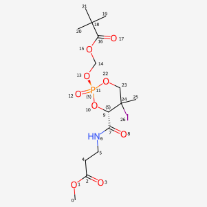 COC(=O)CCNC(=O)[C@@H]1O[P@@](=O)(OCOC(=O)C(C)(C)C)OCC1(C)I